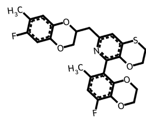 Cc1cc2c(cc1F)OCC(Cc1cc3c(c(-c4c(C)cc(F)c5c4OCCO5)n1)OCCS3)O2